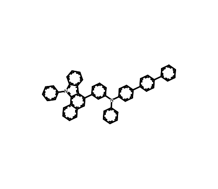 c1ccc(-c2ccc(-c3ccc(N(c4ccccc4)c4cccc(-c5cc6ccccc6c6c5c5ccccc5n6-c5ccccc5)c4)cc3)cc2)cc1